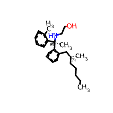 CCCCC[C@@H](C)Cc1ccccc1[C@](C)(NCCO)c1ccccc1C